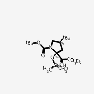 C=C(C(=O)OCC)[C@@]1(O[SiH](C)C)C[C@H](C(C)(C)C)CN1C(=O)OC(C)(C)C